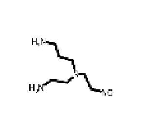 NCCCN(CCN)CCN=O